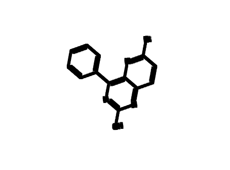 CCc1ccc2nc(O)nc(-c3ccccc3)c2n1